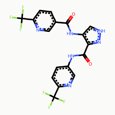 O=C(Nc1c[nH]nc1C(=O)Nc1ccc(C(F)(F)F)nc1)c1ccc(C(F)(F)F)nc1